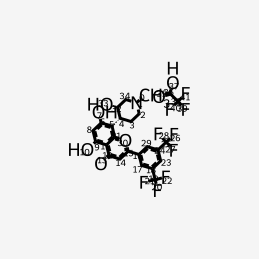 CN1CC[C@H](c2c(O)cc(O)c3c(=O)cc(-c4cc(C(F)(F)F)cc(C(F)(F)F)c4)oc23)[C@H](O)C1.O=C(O)C(F)(F)F